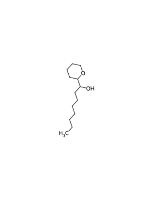 CCCCCCCC(O)C1CCCCO1